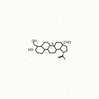 C=C(C)[C@@H]1CC[C@]2(C=O)CC[C@]3(C)C(CCC4[C@@]5(C)CC[C@H](O)[C@@](C)(CO)C5CC[C@]43C)C12